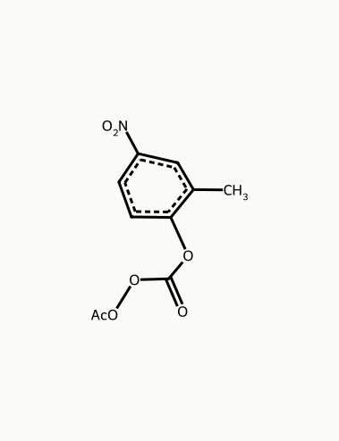 CC(=O)OOC(=O)Oc1ccc([N+](=O)[O-])cc1C